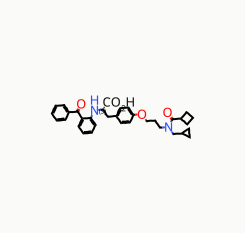 O=C(c1ccccc1)c1ccccc1N[C@@H](Cc1ccc(OCCCN(CC2CC2)C(=O)C2CCC2)cc1)C(=O)O